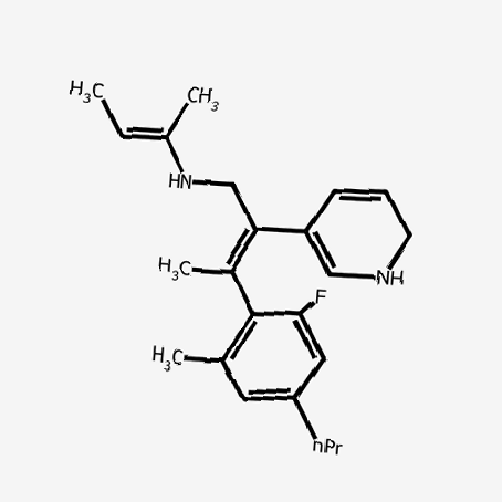 C/C=C(\C)NC/C(C1=CNCC=C1)=C(\C)c1c(C)cc(CCC)cc1F